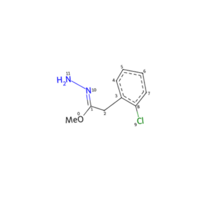 COC(Cc1ccccc1Cl)=NN